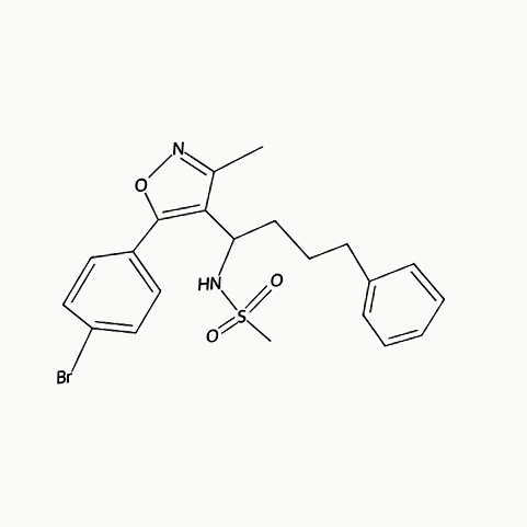 Cc1noc(-c2ccc(Br)cc2)c1C(CCCc1ccccc1)NS(C)(=O)=O